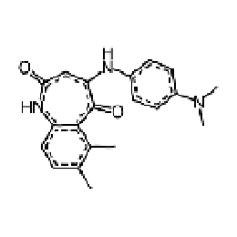 Cc1ccc2[nH]c(=O)cc(Nc3ccc(N(C)C)cc3)c(=O)c2c1C